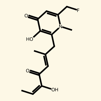 C/C=C(/O)C(=O)/C=C(\C)Cc1c(O)c(=O)cc(CF)n1C